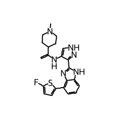 C=C(Nc1c[nH]nc1-c1nc2c(-c3ccc(F)s3)cccc2[nH]1)C1CCN(C)CC1